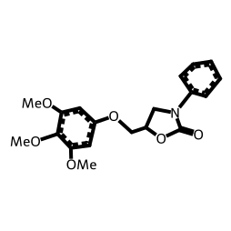 COc1cc(OCC2CN(c3ccccc3)C(=O)O2)cc(OC)c1OC